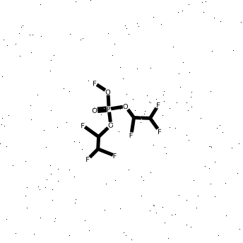 O=P(OF)(OC(F)C(F)F)OC(F)C(F)F